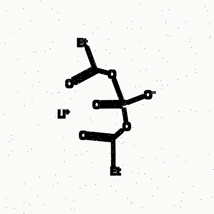 CCC(=O)OP(=O)([O-])OC(=O)CC.[Li+]